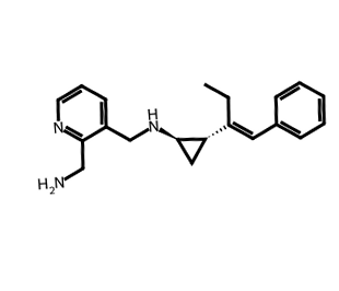 CC/C(=C\c1ccccc1)[C@@H]1C[C@H]1NCc1cccnc1CN